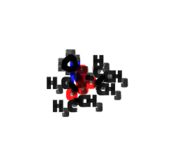 CC(C)OC(=O)C(C)NP(=O)(COC(C)C(C)C)Oc1ccccc1